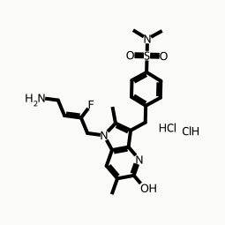 Cc1cc2c(nc1O)c(Cc1ccc(S(=O)(=O)N(C)C)cc1)c(C)n2CC(F)=CCN.Cl.Cl